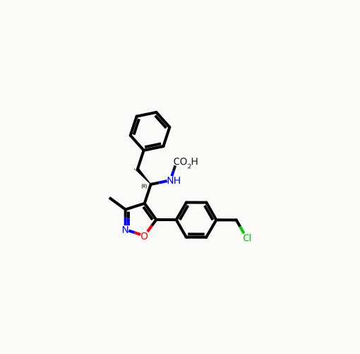 Cc1noc(-c2ccc(CCl)cc2)c1[C@@H]([CH]c1ccccc1)NC(=O)O